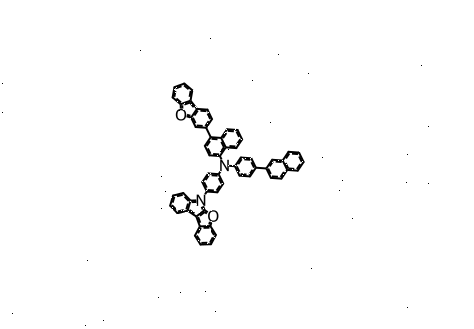 c1ccc2cc(-c3ccc(N(c4ccc(-n5c6ccccc6c6c7ccccc7oc65)cc4)c4ccc(-c5ccc6c(c5)oc5ccccc56)c5ccccc45)cc3)ccc2c1